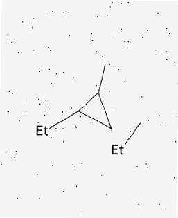 CCC.CCC1CC1C